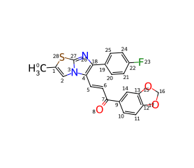 Cc1cn2c(/C=C/C(=O)c3ccc4c(c3)OCO4)c(-c3ccc(F)cc3)nc2s1